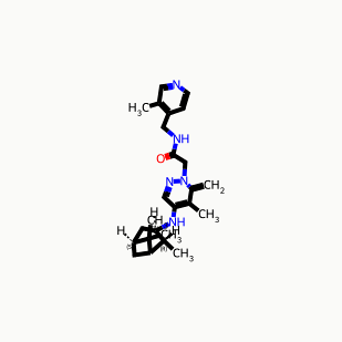 C=C1C(C)=C(N[C@@H]2C[C@@H]3CC([C@H]2C)C3(C)C)C=NN1CC(=O)NCc1ccncc1C